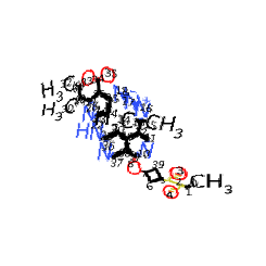 CCS(=O)(=O)[C@H]1C[C@@H](Oc2ncc(C(C)(C)N=[N+]=[N-])c3cc(Nc4ccc5c(n4)[C@@H](C)[C@H](C)OC5=O)ncc23)C1